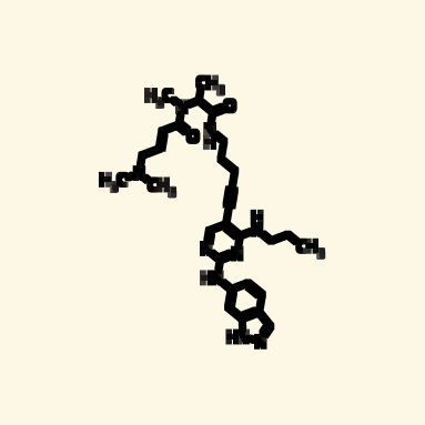 CCCNc1nc(Nc2ccc3cn[nH]c3c2)ncc1C#CCCCNC(=O)C(C)N(C)C(=O)C=CCN(C)C